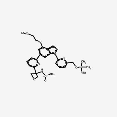 COCCOc1cc(-c2cccc(C3(N[S@+]([O-])C(C)(C)C)COC3)n2)cc2c1cnn2-c1cccc(CO[Si](C)(C)C(C)(C)C)n1